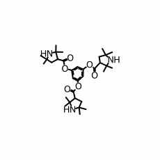 CC1(C)CC(C(=O)Oc2cc(OC(=O)C3CC(C)(C)NC3(C)C)cc(OC(=O)C3CC(C)(C)NC3(C)C)c2)C(C)(C)N1